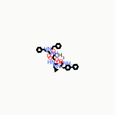 CC(NC(=O)[C@H](CCc1ccccc1)NC(=O)Cc1ccccc1)C(=O)C(=O)N[C@@H](CC1CC1)C(=O)N[C@@H](Cc1ccc(-c2ccccc2)cc1)C(N)=O